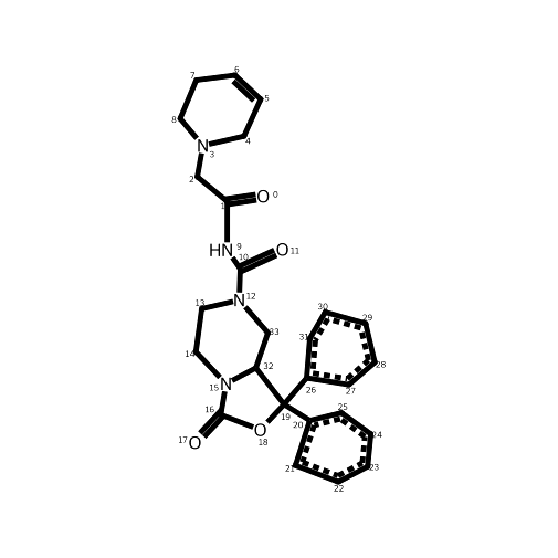 O=C(CN1CC=CCC1)NC(=O)N1CCN2C(=O)OC(c3ccccc3)(c3ccccc3)C2C1